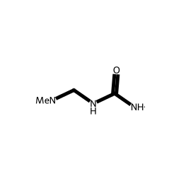 CNCNC([NH])=O